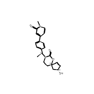 C[C@@H](c1ccc(-c2ccn(C)c(=O)c2)cc1)N1CC[C@]2(CC[C@H](O)C2)OC1=O